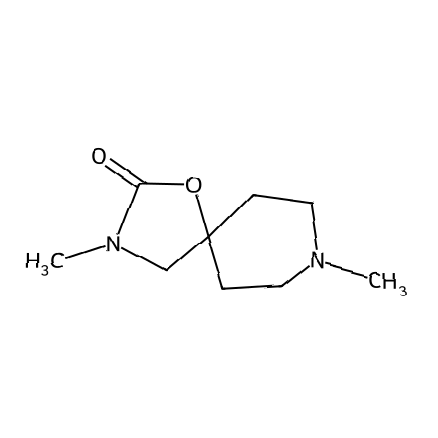 CN1CCC2(CC1)CN(C)C(=O)O2